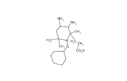 CC(=O)O.CC1(C)CC(N)C(N)C(C)(C)N1OC1CCCCC1